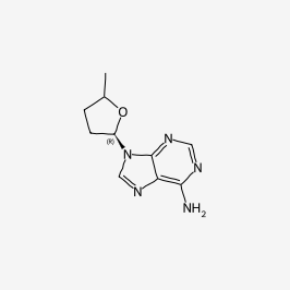 CC1CC[C@H](n2cnc3c(N)ncnc32)O1